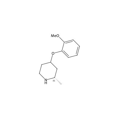 COc1ccccc1OC1CCN[C@@H](C)C1